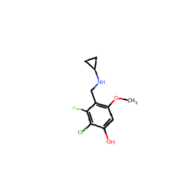 COc1cc(O)c(Cl)c(F)c1CNC1CC1